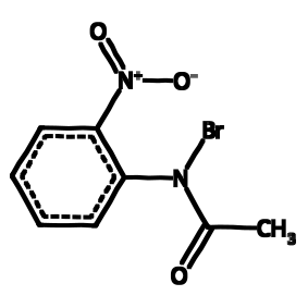 CC(=O)N(Br)c1ccccc1[N+](=O)[O-]